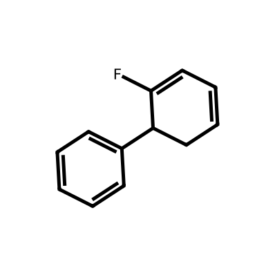 FC1=CC=CCC1c1ccccc1